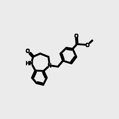 COC(=O)c1ccc(CN2CCC(=O)Nc3ccccc32)cc1